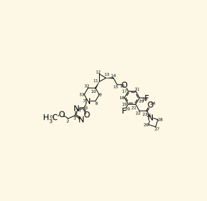 COCc1noc(N2CCC([C@H]3C[C@H]3CCOc3cc(F)c(CC(=O)N4CCC4)c(F)c3)CC2)n1